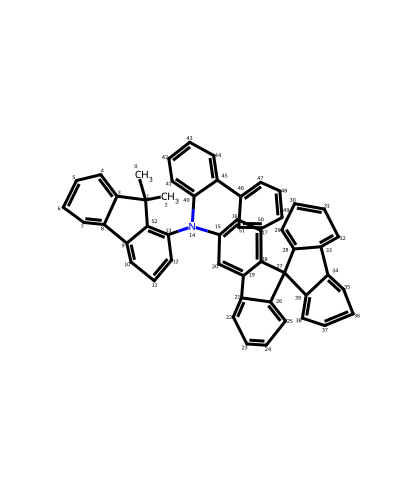 CC1(C)c2ccccc2-c2cccc(N(c3ccc4c(c3)-c3ccccc3C43c4ccccc4-c4ccccc43)c3ccccc3-c3ccccc3)c21